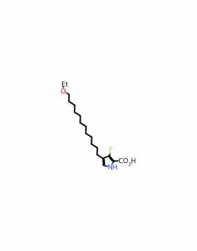 CCOCCCCCCCCCCCCc1c[nH]c(C(=O)O)c1F